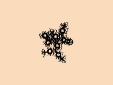 CC(C)(C)c1ccc(N(c2ccc(C(C)(C)C)cc2)c2cccc(N(c3cc(C(C)(C)C)cc(N(c4ccc(C(C)(C)C)cc4)c4ccc5cocc5c4)c3Cl)c3cccc4c3oc3ccccc34)c2)cc1